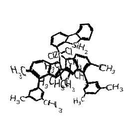 Cc1cc(C)cc(-c2c(C)ccc3c2C=C(C(C)(C)C)[CH]3[Zr]([Cl])([Cl])([c]2cccc3c2[SiH2]c2ccccc2-3)[CH]2C(C(C)(C)C)=Cc3c2ccc(C)c3-c2cc(C)cc(C)c2)c1